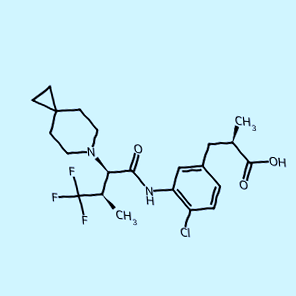 C[C@H](Cc1ccc(Cl)c(NC(=O)[C@@H]([C@@H](C)C(F)(F)F)N2CCC3(CC2)CC3)c1)C(=O)O